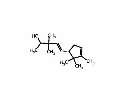 CC1=CC[C@@H](C=CC(C)(C)C(C)O)C1(C)C